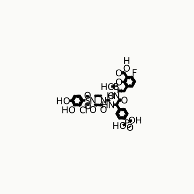 O=C(O)c1c(F)ccc2c1OB(O)[C@@H](NC(=O)C(NC(=O)N1CCN(S(=O)(=O)c3ccc(O)c(O)c3Cl)C(=O)C1=O)c1ccc(P(=O)(O)O)cc1)C2